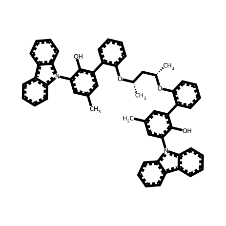 Cc1cc(-c2ccccc2O[C@@H](C)C[C@H](C)Oc2ccccc2-c2cc(C)cc(-n3c4ccccc4c4ccccc43)c2O)c(O)c(-n2c3ccccc3c3ccccc32)c1